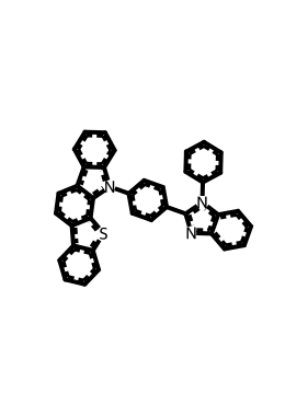 c1ccc(-n2c(-c3ccc(-n4c5ccccc5c5ccc6c7ccccc7sc6c54)cc3)nc3ccccc32)cc1